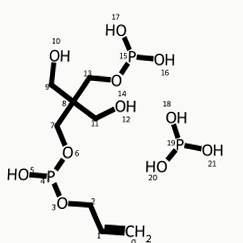 C=CCOP(O)OCC(CO)(CO)COP(O)O.OP(O)O